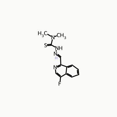 CN(C)C(=S)N/N=C/c1ncc(F)c2ccccc12